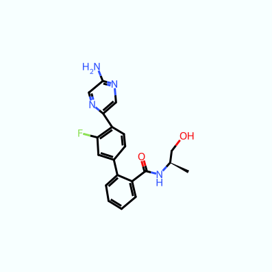 C[C@H](CO)NC(=O)c1ccccc1-c1ccc(-c2cnc(N)cn2)c(F)c1